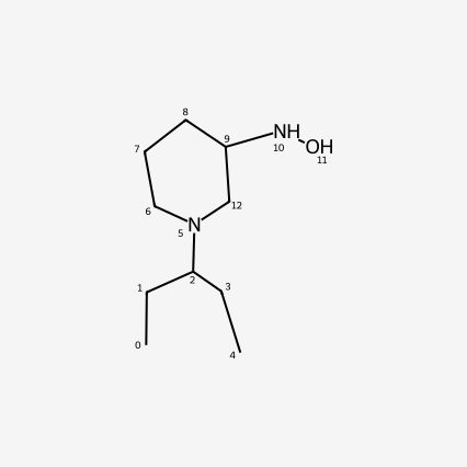 CCC(CC)N1CCCC(NO)C1